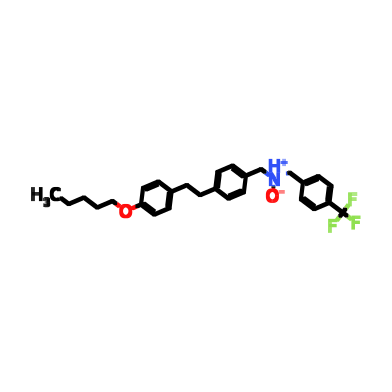 CCCCCOc1ccc(CCc2ccc(C[NH+]([O-])Cc3ccc(C(F)(F)F)cc3)cc2)cc1